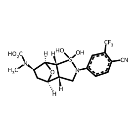 CN(C(=O)O)[C@@H]1C[C@H]2O[C@@H]1[C@H]1[C@@H]2CN(c2ccc(C#N)c(C(F)(F)F)c2)S1(O)O